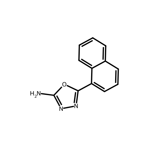 Nc1nnc(-c2cccc3ccccc23)o1